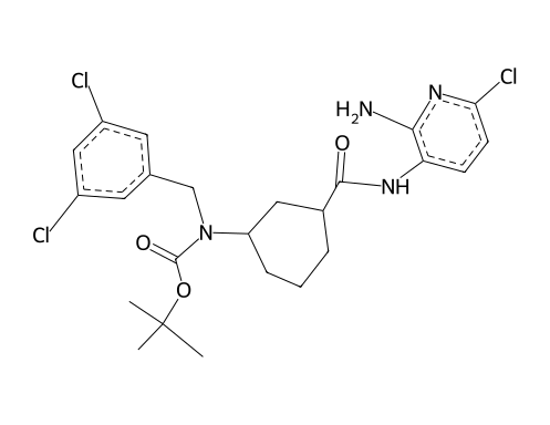 CC(C)(C)OC(=O)N(Cc1cc(Cl)cc(Cl)c1)C1CCCC(C(=O)Nc2ccc(Cl)nc2N)C1